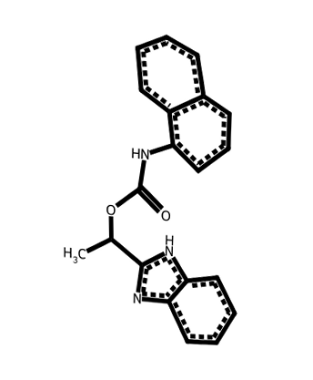 CC(OC(=O)Nc1cccc2ccccc12)c1nc2ccccc2[nH]1